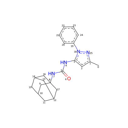 Cc1cc(NC(=O)NC23CC4CC(CC(C4)C2)C3)n(-c2ccccc2)n1